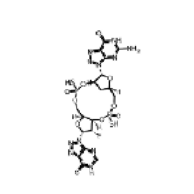 Nc1nc2c(nnn2[C@@H]2O[C@@H]3COP(=O)(S)O[C@H]4[C@H](F)[C@H](n5nnc6c(=O)[nH]cnc65)O[C@@H]4COP(=O)(S)O[C@@H]2C3)c(=O)[nH]1